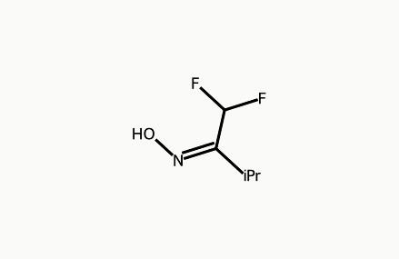 CC(C)C(=NO)C(F)F